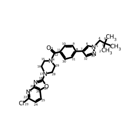 CC(C)(C)Cn1cc(-c2ccc(C(=O)N3CCN(c4nc5nc(Cl)ccc5o4)CC3)cc2)cn1